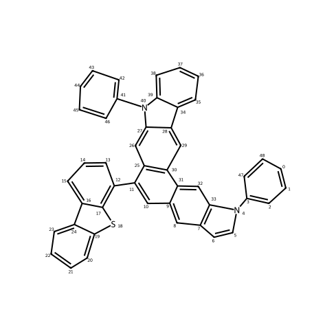 c1ccc(-n2ccc3cc4cc(-c5cccc6c5sc5ccccc56)c5cc6c(cc5c4cc32)c2ccccc2n6-c2ccccc2)cc1